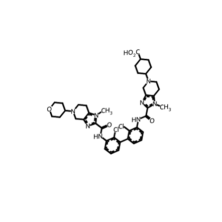 Cn1c(C(=O)Nc2cccc(-c3cccc(NC(=O)c4nc5c(n4C)CCN(C4CCC(C(=O)O)CC4)C5)c3Cl)c2Cl)nc2c1CCN(C1CCOCC1)C2